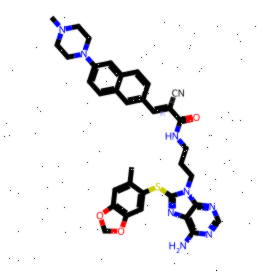 Cc1cc2c(cc1Sc1nc3c(N)ncnc3n1CCCNC(=O)/C(C#N)=C/c1ccc3cc(N4CCN(C)CC4)ccc3c1)OCO2